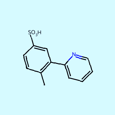 Cc1ccc(S(=O)(=O)O)cc1-c1ccccn1